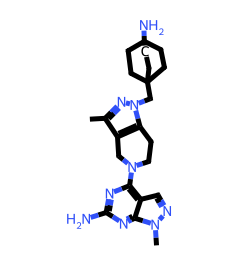 Cc1nn(CC23CCC(N)(CC2)CC3)c2c1CN(c1nc(N)nc3c1cnn3C)CC2